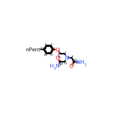 CCCCCc1ccc(OCCN(CC(N)=O)CC(N)=O)cc1